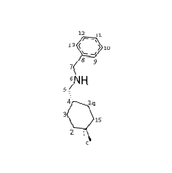 C[C@H]1CC[C@H](CNCc2ccccc2)CC1